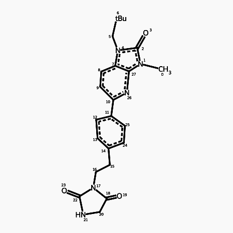 Cn1c(=O)n(CC(C)(C)C)c2ccc(-c3ccc(CCN4C(=O)CNC4=O)cc3)nc21